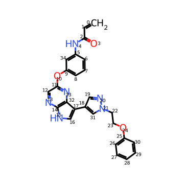 C=CC(=O)Nc1cccc(Oc2cnc3[nH]cc(-c4cnn(CCOc5ccccc5)c4)c3n2)c1